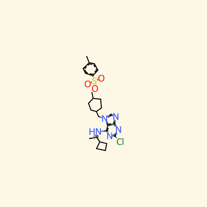 Cc1ccc(S(=O)(=O)OCC2CCC(Cn3cnc4nc(Cl)nc(N[C@H](C)C5CCC5)c43)CC2)cc1